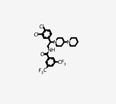 O=C(NCC(c1ccc(Cl)c(Cl)c1)N1CCC(N2CCCCC2)CC1)c1cc(C(F)(F)F)cc(C(F)(F)F)c1